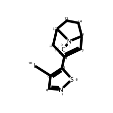 CN1C2C=C(c3sncc3I)CC1CC2